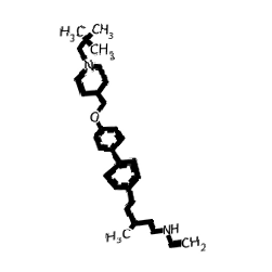 C=CNCCC(C)CCc1ccc(-c2ccc(OCC3CCN(CC(C)(C)C)CC3)cc2)cc1